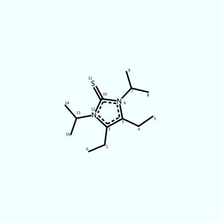 CCc1c(CC)n(C(C)C)c(=S)n1C(C)C